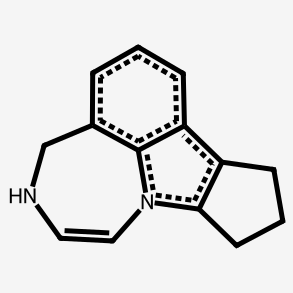 C1=Cn2c3c(c4cccc(c42)CN1)CCC3